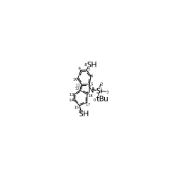 CC(C)(C)[Si](C)(C)n1c2cc(S)ccc2c2ccc(S)cc21